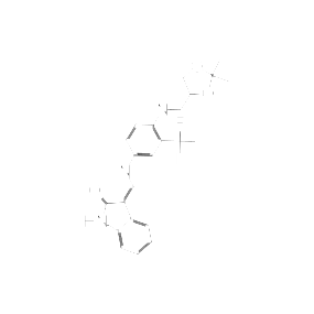 CC1(C)OCC(CNc2ccc(NC=C3C(=O)Nc4ccccc43)cc2C(F)(F)F)O1